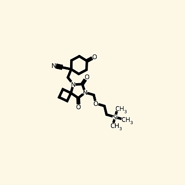 C[Si](C)(C)CCOCN1C(=O)N(CC2(C#N)CCC(=O)CC2)C2(CCC2)C1=O